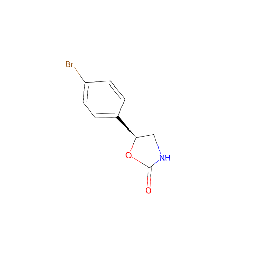 O=C1NC[C@H](c2ccc(Br)cc2)O1